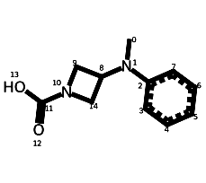 CN(c1ccccc1)C1CN(C(=O)O)C1